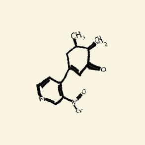 C=C1C(=O)C=C(c2ccncc2[N+](=O)[O-])CC1C